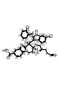 C=C(CCC#N)CN1[C@H]2CCn3c(nc4cc(C(=O)O)ccc43)[C@H]2[C@H](c2cccc(Cl)c2F)[C@]12C(=O)Nc1cc(Cl)ccc12